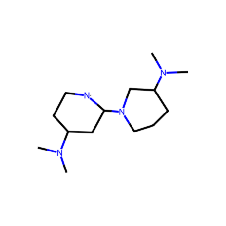 CN(C)C1CC[N]C(N2CCCC(N(C)C)C2)C1